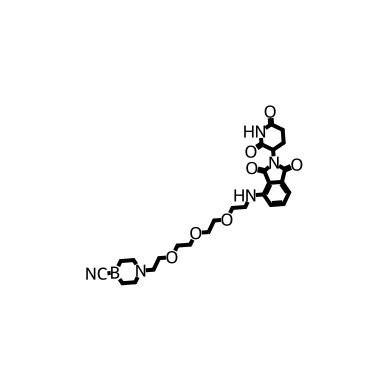 N#CB1CCN(CCOCCOCCOCCNc2cccc3c2C(=O)N(C2CCC(=O)NC2=O)C3=O)CC1